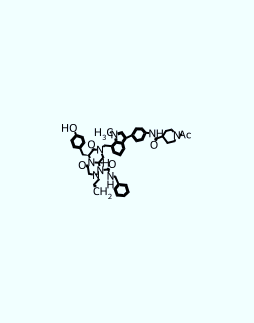 C=CCN1CC(=O)N2[C@@H](Cc3ccc(O)cc3)C(=O)N(Cc3cccc4c(-c5ccc(NC(=O)C6CCN(C(C)=O)CC6)cc5)cn(C)c34)C[C@@H]2N1C(=O)NCc1ccccc1